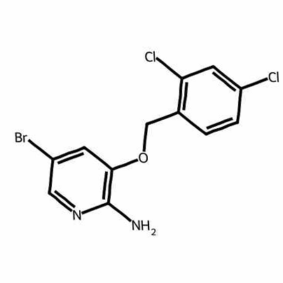 Nc1ncc(Br)cc1OCc1ccc(Cl)cc1Cl